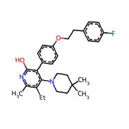 CCc1c(C)nc(O)c(-c2ccc(OCCc3ccc(F)cc3)cc2)c1N1CCC(C)(C)CC1